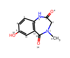 CN1CC(=O)Nc2ccc(O)cc2C1=O